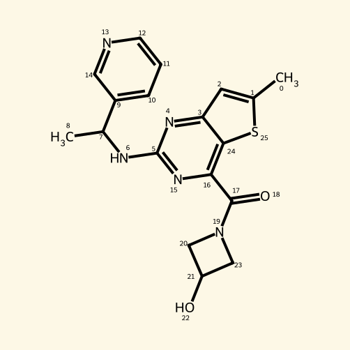 Cc1cc2nc(NC(C)c3cccnc3)nc(C(=O)N3CC(O)C3)c2s1